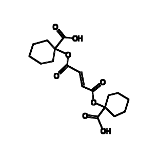 O=C(/C=C/C(=O)OC1(C(=O)O)CCCCC1)OC1(C(=O)O)CCCCC1